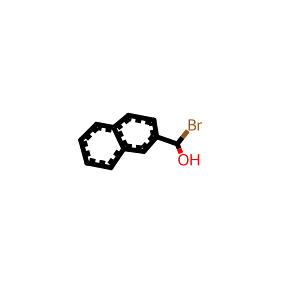 OC(Br)c1ccc2ccccc2c1